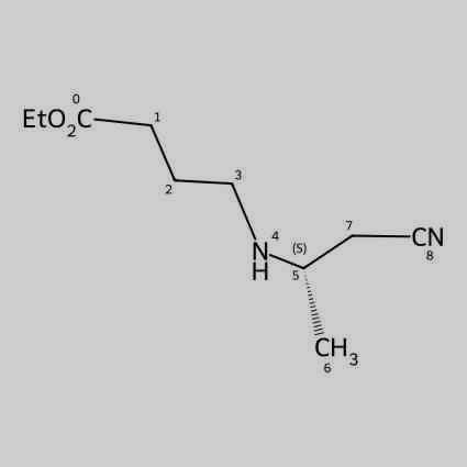 CCOC(=O)CCCN[C@@H](C)CC#N